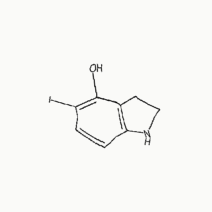 Oc1c(I)ccc2c1CCN2